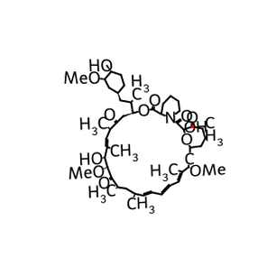 CO[C@H]1CC2CC[C@@H](C)C(=O)C(O)(O2)C(=O)N2CCCCC2C(=O)O[C@H]([C@H](C)C[C@@H]2CC[C@H](O)[C@H](OC)C2)CC(=O)[C@H](C)/C=C(\C)[C@@H](O)[C@@H](OC)C(=O)[C@@H](C)C[C@H](C)/C=C/C=C/C=C/1C